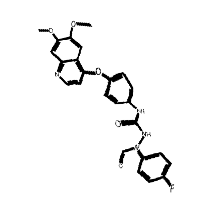 COc1cc2nccc(Oc3ccc(NC(=O)NN(C=O)c4ccc(F)cc4)cc3)c2cc1OC